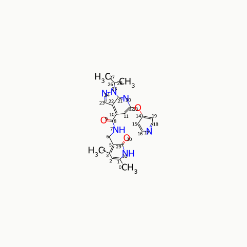 Cc1cc(C)c(CNC(=O)c2cc(Oc3ccncc3)nc3c2cnn3C(C)C)c(=O)[nH]1